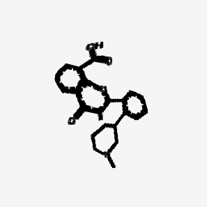 Cc1c(-c2ccccc2C2CCCN(C)C2)oc2c(C(=O)O)cccc2c1=O